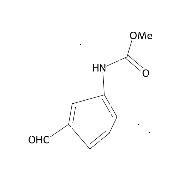 COC(=O)Nc1cccc(C=O)c1